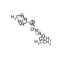 C[C@H]1CCN1c1nc(-c2cnn(CC(=O)N3CCN(C(=O)OC(C)(C)C)CC3)c2)cn2ccnc12